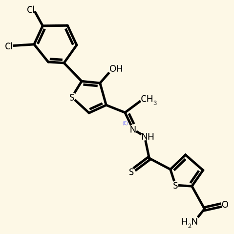 C/C(=N\NC(=S)c1ccc(C(N)=O)s1)c1csc(-c2ccc(Cl)c(Cl)c2)c1O